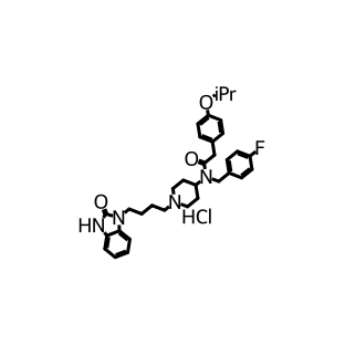 CC(C)Oc1ccc(CC(=O)N(Cc2ccc(F)cc2)C2CCN(CCCCn3c(=O)[nH]c4ccccc43)CC2)cc1.Cl